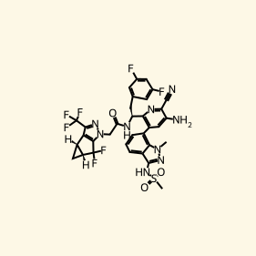 Cn1nc(NS(C)(=O)=O)c2cccc(-c3cc(N)c(C#N)nc3[C@H](Cc3cc(F)cc(F)c3)NC(=O)Cn3nc(C(F)(F)F)c4c3C(F)(F)[C@@H]3C[C@H]43)c21